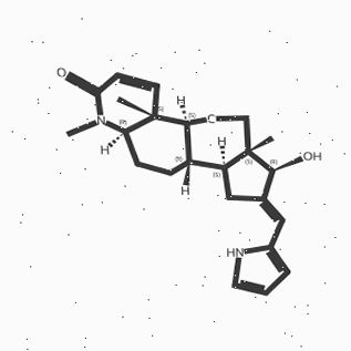 CN1C(=O)C=C[C@]2(C)[C@H]3CC[C@]4(C)[C@@H](O)C(=Cc5ccc[nH]5)C[C@H]4[C@@H]3CC[C@@H]12